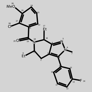 CCC1Cc2c(nn(C)c2-c2cccc(F)c2)C(CC)N1C(=O)c1cccc(OC)c1Cl